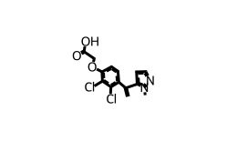 C=C(c1ccc(OCC(=O)O)c(Cl)c1Cl)c1ccnn1C